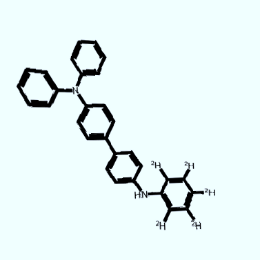 [2H]c1c([2H])c([2H])c(Nc2ccc(-c3ccc(N(c4ccccc4)c4ccccc4)cc3)cc2)c([2H])c1[2H]